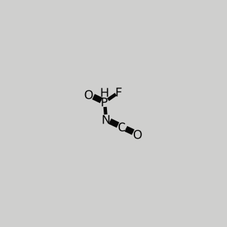 O=C=N[PH](=O)F